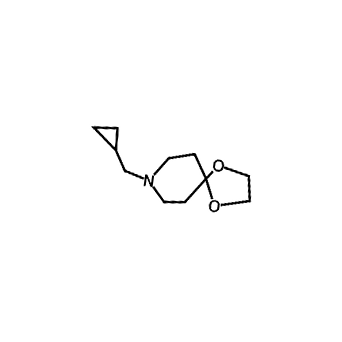 C1COC2(CCN(CC3CC3)CC2)O1